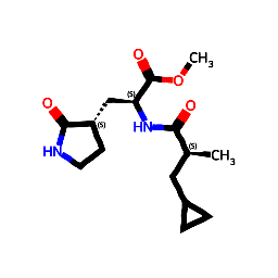 COC(=O)[C@H](C[C@@H]1CCNC1=O)NC(=O)[C@@H](C)CC1CC1